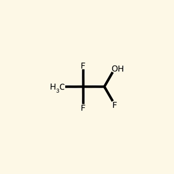 CC(F)(F)[C](O)F